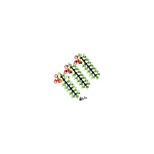 O=S(=O)([O-])C(F)(F)C(F)(F)C(F)(F)C(F)(F)C(F)(F)C(F)(F)C(F)(F)F.O=S(=O)([O-])C(F)(F)C(F)(F)C(F)(F)C(F)(F)C(F)(F)C(F)(F)C(F)(F)F.O=S(=O)([O-])C(F)(F)C(F)(F)C(F)(F)C(F)(F)C(F)(F)C(F)(F)C(F)(F)F.[In+3]